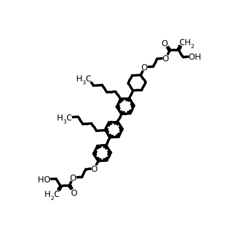 C=C(CO)C(=O)OCCOc1ccc(-c2ccc(-c3ccc(C4CCC(OCCOC(=O)C(=C)CO)CC4)c(CCCCC)c3)cc2CCCCC)cc1